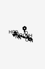 O=C(Nc1c(C#Cc2nc3nc(C4(C(=O)O)CC4)oc3o2)oc2cnccc12)OCc1ccccc1